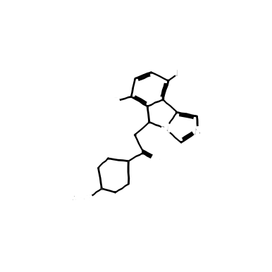 CC(=O)OC1CCC(C(=O)CC2c3c(F)ccc(F)c3-c3cncn32)CC1